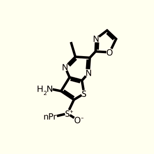 CCC[S+]([O-])c1sc2nc(-c3ncco3)c(C)nc2c1N